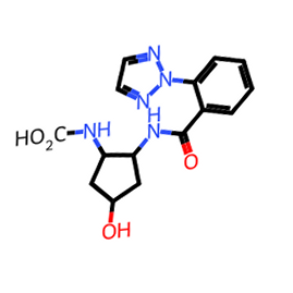 O=C(O)NC1CC(O)CC1NC(=O)c1ccccc1-n1nccn1